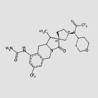 CC1C2Cc3c(cc(C(F)(F)F)cc3NC(N)=O)CN2C(=O)[C@]12CC[C@@H](N(C(=O)C(F)(F)F)C1CCOCC1)C2